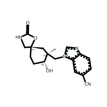 C[C@@]1(Cn2cnc3ccc(C#N)cc32)C[C@@]2(CC[C@H]1O)CNC(=O)O2